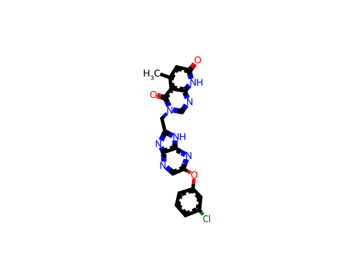 Cc1cc(=O)[nH]c2ncn(Cc3nc4ncc(Oc5cccc(Cl)c5)nc4[nH]3)c(=O)c12